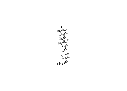 CCCCCCOC1CCC(COc2cc(F)c(C(=O)Oc3cc(F)c(F)c(F)c3)c(F)c2)CC1